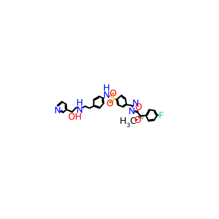 CO[C@H](c1ccc(F)cc1)c1nc(-c2ccc(S(=O)(=O)Nc3ccc(CCNCC(O)c4cccnc4)cc3)cc2)no1